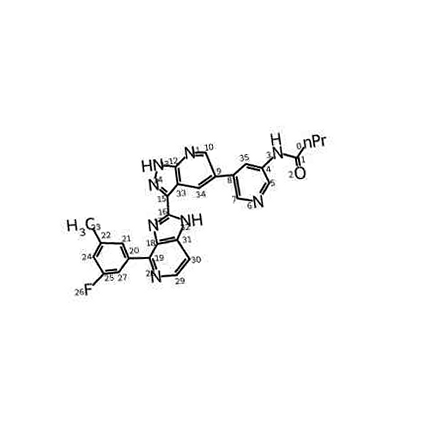 CCCC(=O)Nc1cncc(-c2cnc3[nH]nc(-c4nc5c(-c6cc(C)cc(F)c6)nccc5[nH]4)c3c2)c1